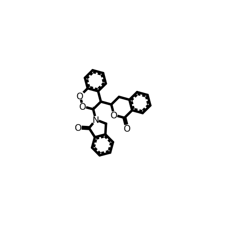 O=C1OC(C2[C](N3Cc4ccccc4C3=O)OOc3ccccc32)Cc2ccccc21